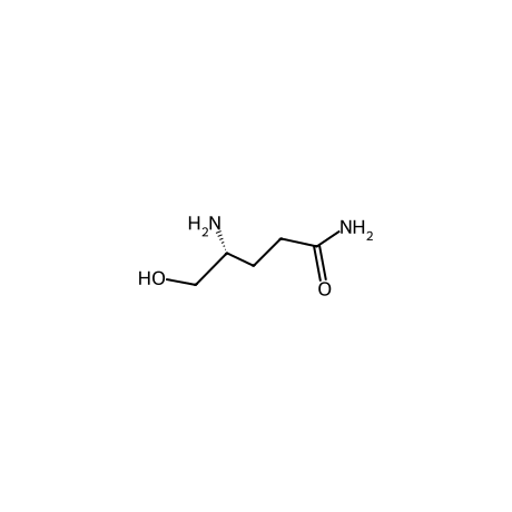 NC(=O)CC[C@@H](N)CO